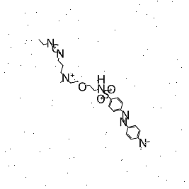 CCN=C=NCCC[N+](C)(C)CCOCCNS(=O)(=O)c1ccc(/N=N/c2ccc(N(C)C)cc2)cc1